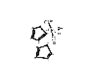 C1=CCC=C1.C1=CCC=C1.[Cl][Pt][Cl].[Pt]